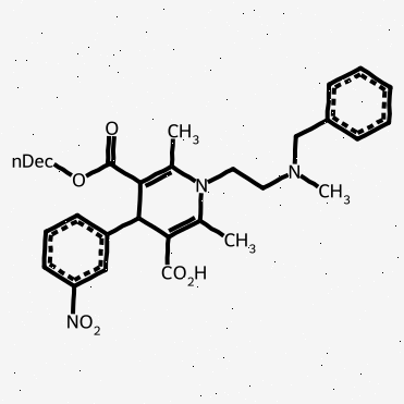 CCCCCCCCCCOC(=O)C1=C(C)N(CCN(C)Cc2ccccc2)C(C)=C(C(=O)O)C1c1cccc([N+](=O)[O-])c1